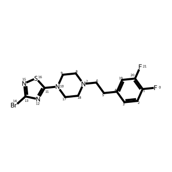 Fc1ccc(CCN2CCN(c3nc(Br)ns3)CC2)cc1F